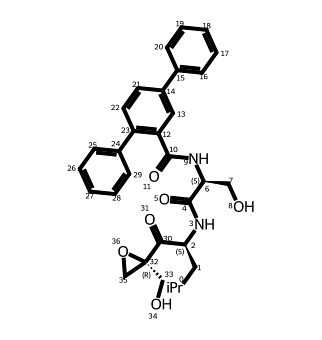 CC(C)C[C@H](NC(=O)[C@H](CO)NC(=O)c1cc(-c2ccccc2)ccc1-c1ccccc1)C(=O)[C@@]1(CO)CO1